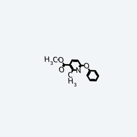 COC(=O)c1ccc(Oc2ccccc2)nc1C